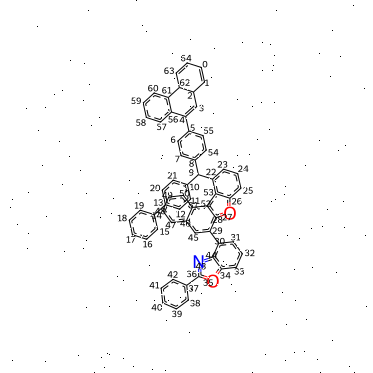 C1=CC2C=C(c3ccc(C(c4ccc(-c5ccccc5)cc4)c4cccc5oc6c(-c7cccc8oc(-c9ccccc9)nc78)cc7ccccc7c6c45)cc3)c3ccccc3C2C=C1